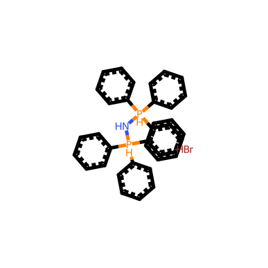 Br.c1ccc([PH](N[PH](c2ccccc2)(c2ccccc2)c2ccccc2)(c2ccccc2)c2ccccc2)cc1